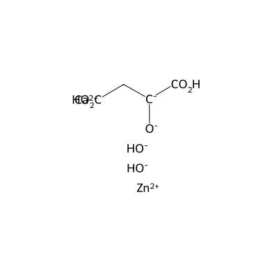 O=C(O)C[C-]([O-])C(=O)O.[Ca+2].[OH-].[OH-].[Zn+2]